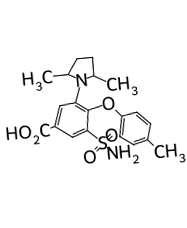 Cc1ccc(Oc2c(N3C(C)CCC3C)cc(C(=O)O)cc2S(N)(=O)=O)cc1